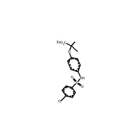 CCOC(=O)C(C)(C)Oc1ccc(NS(=O)(=O)c2ccc(Cl)cc2)cc1